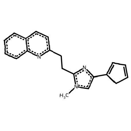 Cn1cc(C2=CC=CC2)nc1CCc1ccc2ccccc2n1